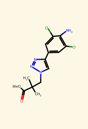 COC(=O)C(C)(C)Cn1cc(-c2cc(Cl)c(N)c(Cl)c2)nn1